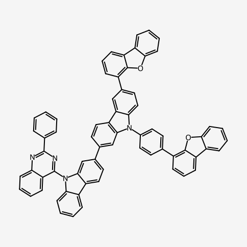 c1ccc(-c2nc(-n3c4ccccc4c4ccc(-c5ccc6c7cc(-c8cccc9c8oc8ccccc89)ccc7n(-c7ccc(-c8cccc9c8oc8ccccc89)cc7)c6c5)cc43)c3ccccc3n2)cc1